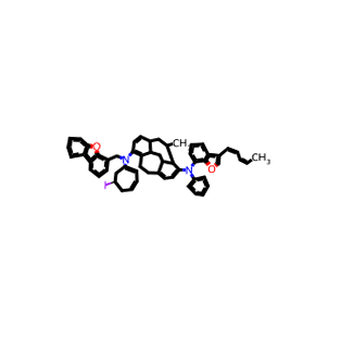 C/C=C\C=C/c1coc2c(N(C3=CC=C4CCC5=C(N(Cc6cccc7c6oc6ccccc67)C6=CC=CC[C@@H](I)C6)C=CC6CC(C)C3C4CC56)c3ccccc3)cccc12